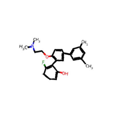 Cc1cc(C)cc(-c2ccc(OCCN(C)C)c(C3=C(F)[CH]CC=C3O)c2)c1